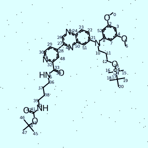 COc1cc(OC)cc(N(CCCO[Si](C)(C)C(C)(C)C)c2ccc3ncc(-c4ccnc(C(=O)NCCCCNC(=O)OC(C)(C)C)c4)nc3c2)c1